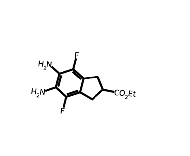 CCOC(=O)C1Cc2c(F)c(N)c(N)c(F)c2C1